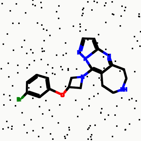 Brc1cccc(OC2CN(c3c4c(nc5ccnn35)CCNCC4)C2)c1